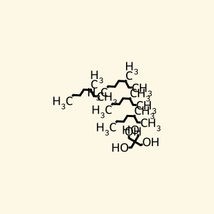 CCCCC(C)CC.CCCCC(C)CC.CCCCC(C)CC.CCCCC(C)CC.OCC(CO)(CO)CO